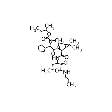 C=CCNC(=O)C(=O)C(CCC)NC(=O)C1C2C(CN1C(=O)C(C1CCCC1)N(C)C(=O)OC(C)CC)C2(C)C